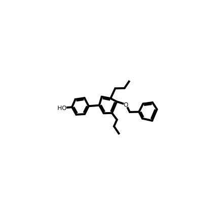 CCCc1cc(-c2ccc(O)cc2)cc(CCC)c1OCc1ccccc1